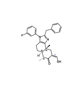 C[C@H]1C(=O)/C(=C\O)C[C@@]2(C)c3nc(Cc4ccccc4)n(-c4cccc(F)c4)c3CC[C@H]12